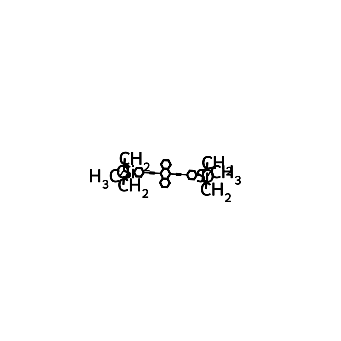 C=CC[Si](CC=C)(OCC)c1ccc(C#Cc2c3ccccc3c(C#Cc3ccc([Si](CC=C)(CC=C)OCC)cc3)c3ccccc23)cc1